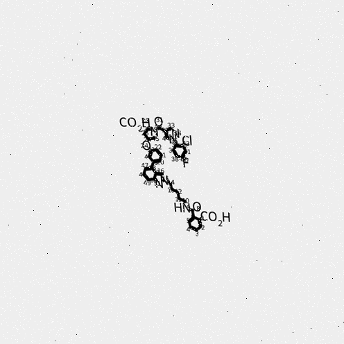 O=C(O)c1ccccc1C(=O)NCCCCCn1cc2c(-c3cccc(O[C@H]4C[C@@H](C(=O)O)N(C(=O)c5cnn(-c6ccc(F)cc6Cl)c5)C4)c3)cccc2n1